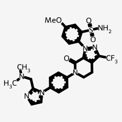 COc1ccc(-n2nc(C(F)(F)F)c3c2C(=O)N(c2ccc(-n4ccnc4CN(C)C)cc2)CC3)c(S(N)(=O)=O)c1